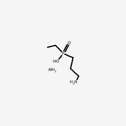 CCP(=O)(O)CCCN.[AlH3]